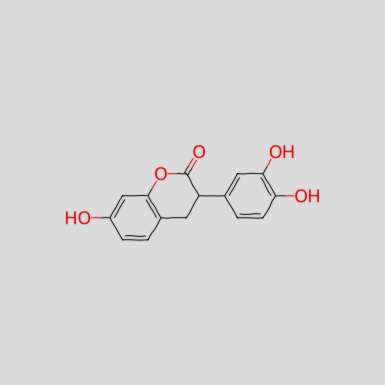 O=C1Oc2cc(O)ccc2CC1c1ccc(O)c(O)c1